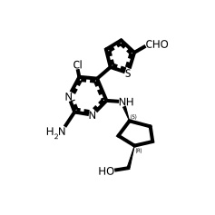 Nc1nc(Cl)c(-c2ccc(C=O)s2)c(N[C@H]2CC[C@@H](CO)C2)n1